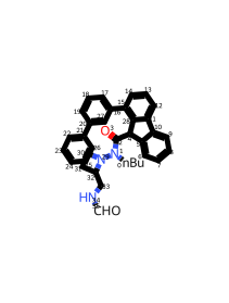 CCCCN(C(=O)C1c2ccccc2-c2cccc(-c3cccc(-c4ccccc4)c3)c21)N1CCC1CNC=O